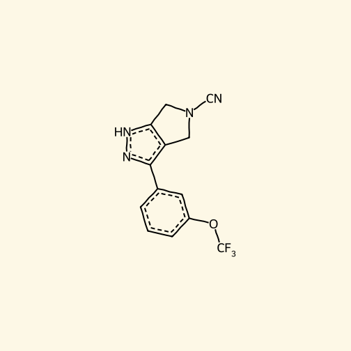 N#CN1Cc2[nH]nc(-c3cccc(OC(F)(F)F)c3)c2C1